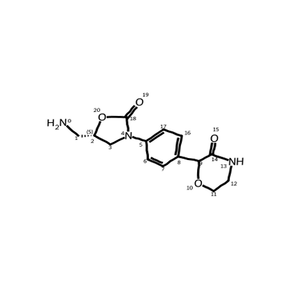 NC[C@H]1CN(c2ccc(C3OCCNC3=O)cc2)C(=O)O1